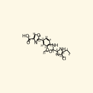 CCc1[nH]c(C(=O)Nc2ccc(-c3nc(C(=O)O)co3)cc2OC)nc1Cl